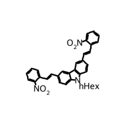 CCCCCCn1c2ccc(/C=C/c3ccccc3[N+](=O)[O-])cc2c2cc(/C=C/c3ccccc3[N+](=O)[O-])ccc21